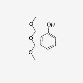 COCOCOC.Oc1ccccc1